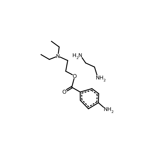 CCN(CC)CCOC(=O)c1ccc(N)cc1.NCCN